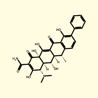 C[C@H]1c2ccc(-c3ccccc3)c(O)c2C(=O)C2=C(O)[C@]3(O)C(=O)C(C(N)=O)=C(O)[C@@H](N(C)C)[C@@H]3[C@@H](O)[C@@H]21